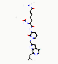 COC(=O)NC(CCC=CC(=O)N(C)C)C(=O)Nc1cccn(Cc2cc3c(F)cnc(CC(C)C)c3[nH]2)c1=O